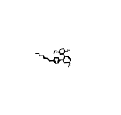 CCCC=CCCc1ccc(-c2cc(F)ccc2-c2cc(F)ccc2F)cc1